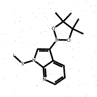 CC1(C)OB(c2cn(SI)c3ncccc23)OC1(C)C